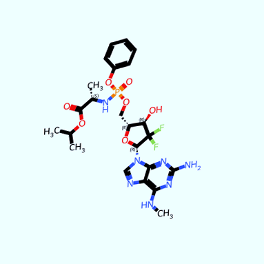 CNc1nc(N)nc2c1ncn2[C@@H]1O[C@H](COP(=O)(N[C@@H](C)C(=O)OC(C)C)Oc2ccccc2)[C@@H](O)C1(F)F